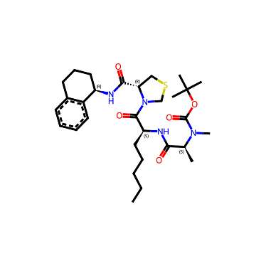 CCCCC[C@H](NC(=O)[C@H](C)N(C)C(=O)OC(C)(C)C)C(=O)N1CSC[C@H]1C(=O)N[C@@H]1CCCc2ccccc21